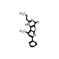 CCCc1nc(=O)c2sc3nc(-c4ccccc4)cc(C)c3c2[nH]1